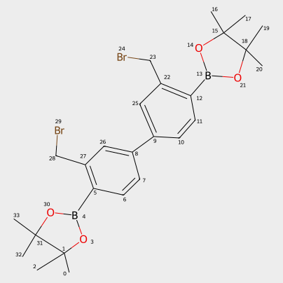 CC1(C)OB(c2ccc(-c3ccc(B4OC(C)(C)C(C)(C)O4)c(CBr)c3)cc2CBr)OC1(C)C